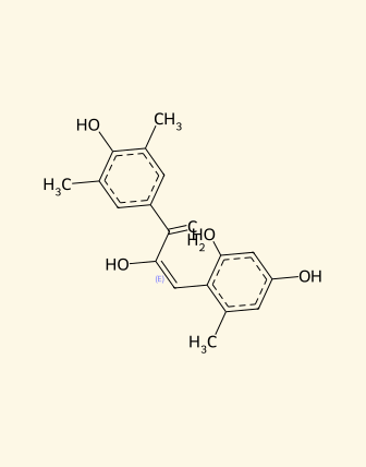 C=C(/C(O)=C\c1c(C)cc(O)cc1O)c1cc(C)c(O)c(C)c1